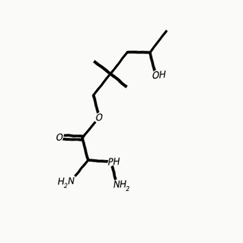 CC(O)CC(C)(C)COC(=O)C(N)PN